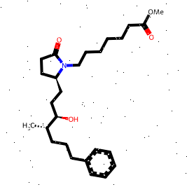 COC(=O)CCCCCCN1C(=O)CC[C@@H]1CC[C@@H](O)[C@@H](C)CCCc1ccccc1